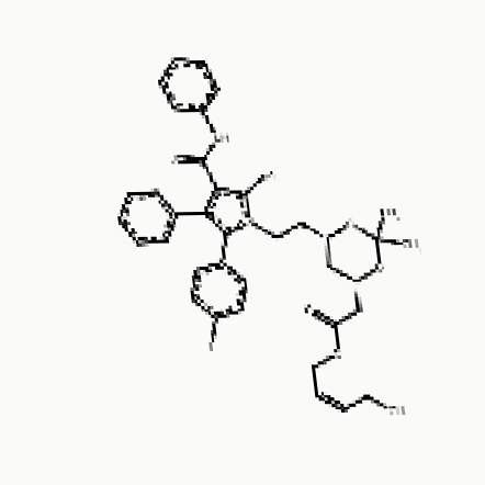 CC(C)c1c(C(=O)Nc2ccccc2)c(-c2ccccc2)c(-c2ccc(F)cc2)n1CC[C@@H]1C[C@H](CC(=O)OC/C=C\CO)OC(C)(C)O1